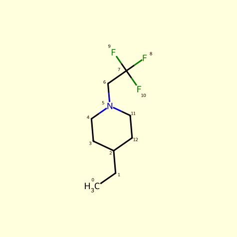 CCC1CCN(CC(F)(F)F)CC1